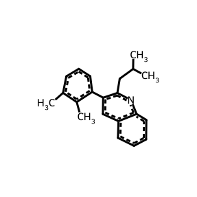 Cc1cccc(-c2cc3ccccc3nc2CC(C)C)c1C